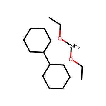 C1CCC(C2CCCCC2)CC1.CCO[SiH2]OCC